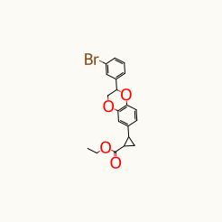 CCOC(=O)C1CC1c1ccc2c(c1)OCC(c1cccc(Br)c1)O2